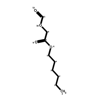 CCCCCCOC(=O)CO[C]=O